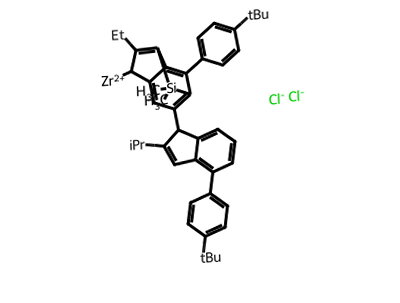 CCC1=C2c3c(cc(C4C(C(C)C)=Cc5c(-c6ccc(C(C)(C)C)cc6)cccc54)c(c3-c3ccc(C(C)(C)C)cc3)[Si]2(C)C)[CH]1[Zr+2].[Cl-].[Cl-]